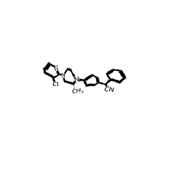 C[C@@H]1CN(c2ncccc2Cl)CCN1c1ccc(C(C#N)c2ccccc2)cc1